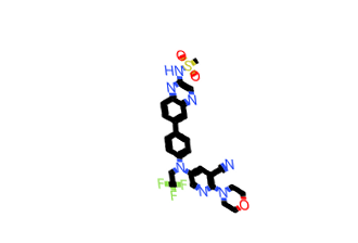 CS(=O)(=O)Nc1cnc2cc(-c3ccc(N(CC(F)(F)F)c4cnc(N5CCOCC5)c(C#N)c4)cc3)ccc2n1